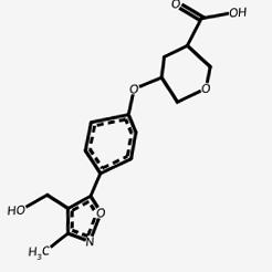 Cc1noc(-c2ccc(OC3COCC(C(=O)O)C3)cc2)c1CO